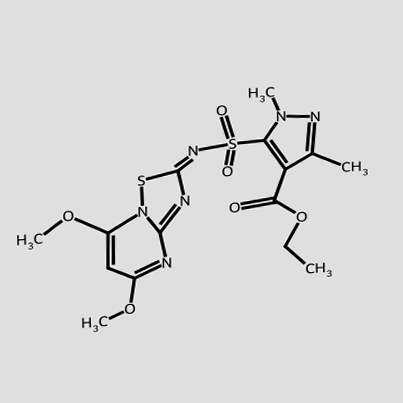 CCOC(=O)c1c(C)nn(C)c1S(=O)(=O)N=c1nc2nc(OC)cc(OC)n2s1